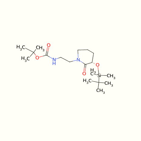 CC(C)(C)OC(=O)NCCN1CCC[C@H](O[Si](C)(C)C(C)(C)C)C1=O